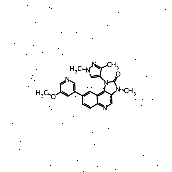 COc1cncc(-c2ccc3ncc4c(c3c2)n(-c2cn(C)nc2C)c(=O)n4C)c1